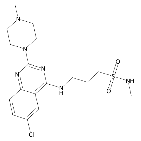 CNS(=O)(=O)CCCNc1nc(N2CCN(C)CC2)nc2ccc(Cl)cc12